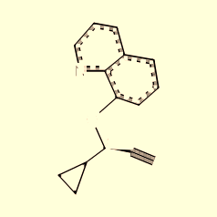 C#C[C@H](Oc1cccc2cccnc12)C1CC1